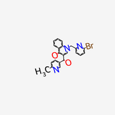 Cc1ccc(C(=O)c2cn(Cc3cccc(Br)n3)c3ccccc3c2=O)cn1